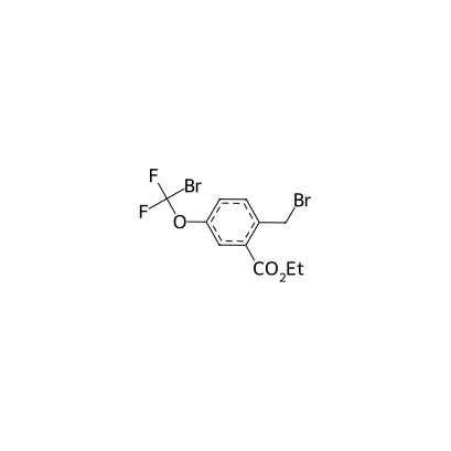 CCOC(=O)c1cc(OC(F)(F)Br)ccc1CBr